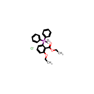 CCOC(=O)c1c(OCC)cccc1[P+](C)(c1ccccc1)c1ccccc1.[Cl-]